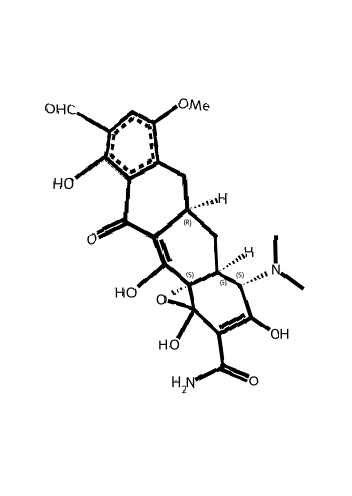 COc1cc(C=O)c(O)c2c1C[C@H]1C[C@H]3[C@H](N(C)C)C(O)=C(C(N)=O)C4(O)O[C@]34C(O)=C1C2=O